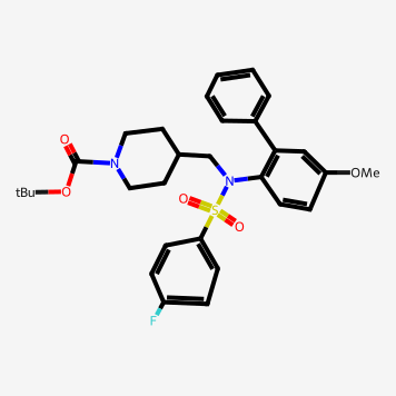 COc1ccc(N(CC2CCN(C(=O)OC(C)(C)C)CC2)S(=O)(=O)c2ccc(F)cc2)c(-c2ccccc2)c1